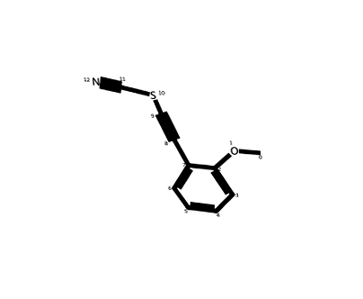 COc1ccccc1C#CSC#N